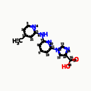 Cc1ccnc(Nc2cccc(-n3cnc(C(=O)O)c3)n2)c1